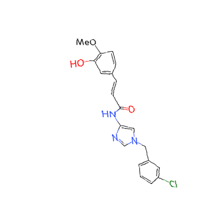 COc1ccc(/C=C/C(=O)Nc2cn(Cc3cccc(Cl)c3)cn2)cc1O